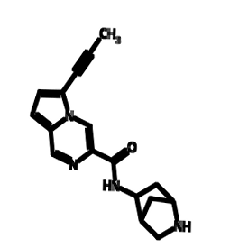 CC#Cc1ccc2cnc(C(=O)NC3CC4CC3CN4)cn12